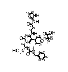 O=C(CCNc1nc(=O)n(C[C@H](NC(=O)OCc2ccccc2)C(=O)O)cc1C1CCOCC1)Nc1ncc[nH]1.O=C(O)C(F)(F)F